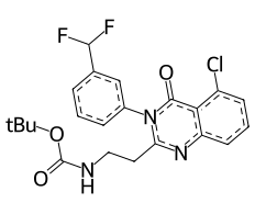 CC(C)(C)OC(=O)NCCc1nc2cccc(Cl)c2c(=O)n1-c1cccc(C(F)F)c1